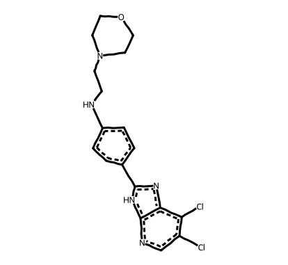 Clc1cnc2[nH]c(-c3ccc(NCCN4CCOCC4)cc3)nc2c1Cl